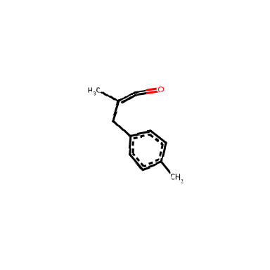 CC(=C=O)Cc1ccc(C)cc1